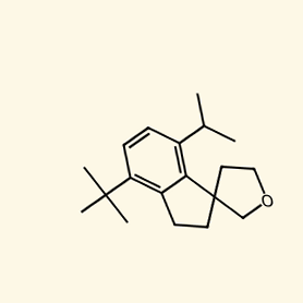 CC(C)c1ccc(C(C)(C)C)c2c1C1(CCOC1)CC2